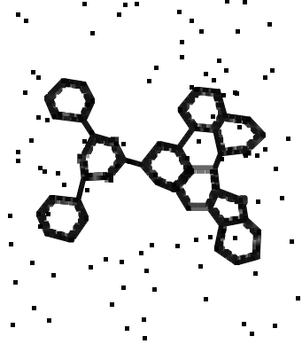 c1ccc(-c2nc(-c3ccccc3)nc(-c3cccc(-c4cccc5ccnc(-c6cncc7c6oc6ccccc67)c45)c3)n2)cc1